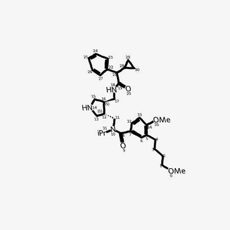 COCCCCc1cc(C(=O)N(C[C@@H]2CNC[C@H]2CNC(=O)C(c2ccccc2)C2CC2)C(C)C)ccc1OC